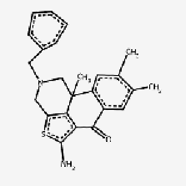 Cc1cc2c(cc1C)C1(C)CN(Cc3ccccc3)Cc3sc(N)c(c31)C2=O